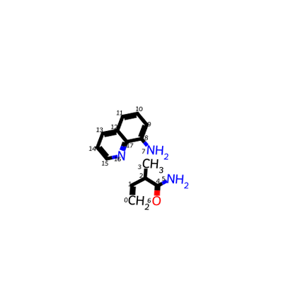 C=CC(C)C(N)=O.Nc1cccc2cccnc12